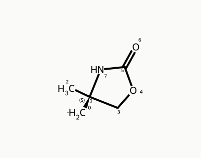 [CH2][C@]1(C)COC(=O)N1